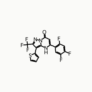 O=c1cc(-c2cc(F)c(F)cc2F)[nH]c2c(-c3cccs3)c(C(F)(F)F)nn12